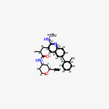 C#CC1CC(NC(=O)C(C)Cc2cc3cc(-c4ccccc4C)ccc3nc2NC(C)(C)C)CCO1